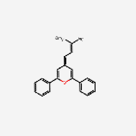 [C-]#[N+]C(=CC=C1C=C(c2ccccc2)OC(c2ccccc2)=C1)C(=O)OCC